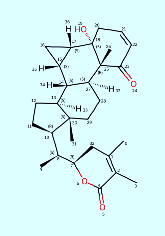 CC1=C(C)C(=O)O[C@@H]([C@@H](C)[C@H]2CC[C@H]3[C@@H]4[C@@H]5C[C@@H]5[C@@]5(O)CC=CC(=O)[C@]5(C)[C@H]4CC[C@]23C)C1